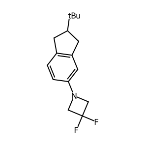 CC(C)(C)C1Cc2ccc(N3CC(F)(F)C3)cc2C1